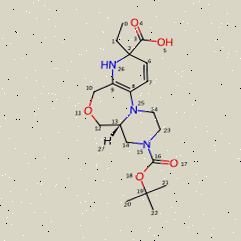 CCC1(C(=O)O)C=CC2=C(COC[C@H]3CN(C(=O)OC(C)(C)C)CCN23)N1